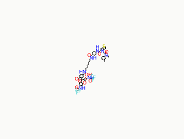 CCN(C(=O)Cn1c(C(=O)N[C@H]2CC[C@H](C(=O)NCCCCCCCCNC(O)c3ccc4c(c3)C3(OC4=O)c4ccc(NC(=O)C(F)(F)F)cc4Oc4cc(NC(=O)C(F)(F)F)ccc43)CC2)cc2sccc21)c1cccc(C)c1